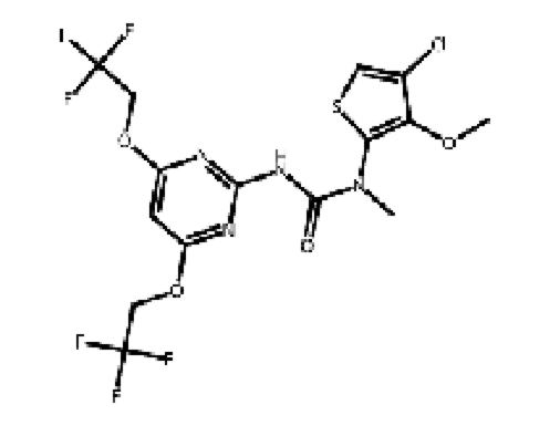 COc1c(Cl)csc1N(C)C(=O)Nc1nc(OCC(F)(F)F)cc(OCC(F)(F)F)n1